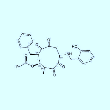 CC(C)C(=O)O[C@@H]1[C@H](C)C(=O)C(=O)[C@@H](NCc2ccccc2O)CC(=O)C(=O)[C@@H]1Cc1ccccc1